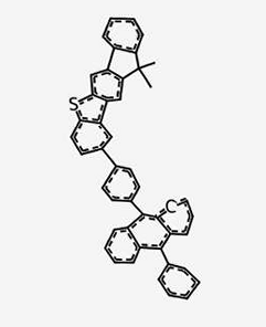 CC1(C)c2ccccc2-c2cc3sc4ccc(-c5ccc(-c6c7ccccc7c(-c7ccccc7)c7ccccc67)cc5)cc4c3cc21